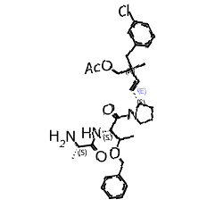 CC(=O)OC[C@@](C)(/C=C/[C@@H]1CCCN1C(=O)[C@@H](NC(=O)[C@H](C)N)C(C)OCc1ccccc1)Cc1cccc(Cl)c1